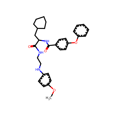 COc1ccc(NCCNC(=O)C(CC2CCCCC2)NC(=O)c2ccc(Oc3ccccc3)cc2)cc1